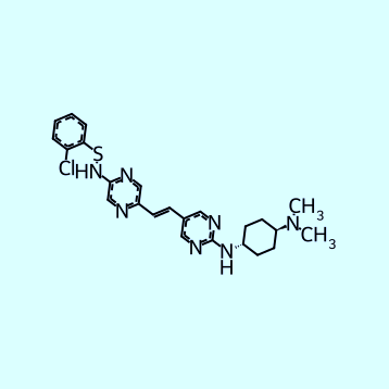 CN(C)[C@H]1CC[C@H](Nc2ncc(/C=C/c3cnc(NSc4ccccc4Cl)cn3)cn2)CC1